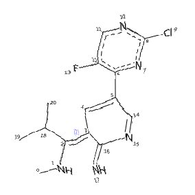 CN/C(=C1/C=C(c2nc(Cl)ncc2F)C=NC1=N)C(C)C